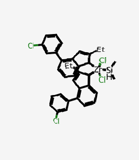 CCC1=Cc2c(-c3cccc(Cl)c3)cccc2[CH]1[Zr]([Cl])([Cl])([CH]1C(CC)=Cc2c(-c3cccc(Cl)c3)cccc21)[SiH](C)C